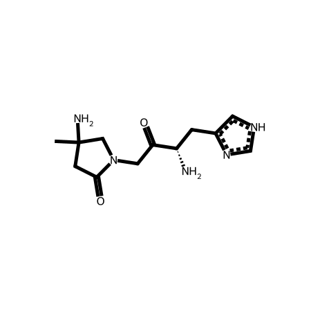 CC1(N)CC(=O)N(CC(=O)[C@@H](N)Cc2c[nH]cn2)C1